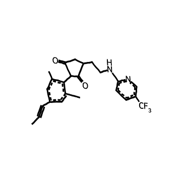 CC#Cc1cc(C)c(C2C(=O)CC(CCNc3ccc(C(F)(F)F)cn3)C2=O)c(C)c1